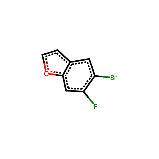 Fc1cc2occc2cc1Br